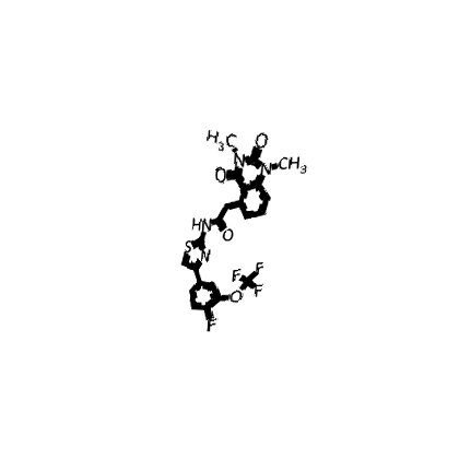 Cn1c(=O)c2c(CC(=O)Nc3nc(-c4ccc(F)c(OC(F)(F)F)c4)cs3)cccc2n(C)c1=O